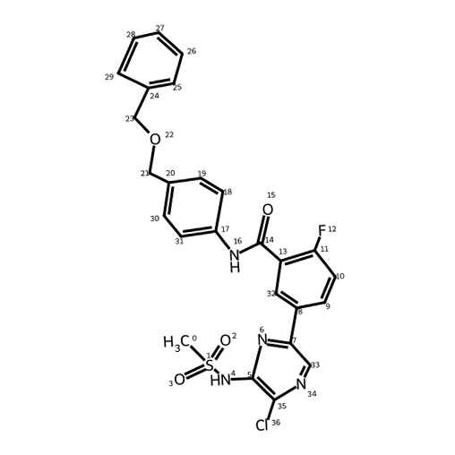 CS(=O)(=O)Nc1nc(-c2ccc(F)c(C(=O)Nc3ccc(COCc4ccccc4)cc3)c2)cnc1Cl